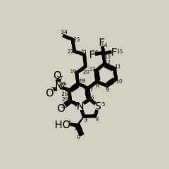 C=C(O)[C@@H]1CSc2c(-c3cccc(C(F)(F)F)c3)c(CCCCCC)c([N+](=O)[O-])c(=O)n21